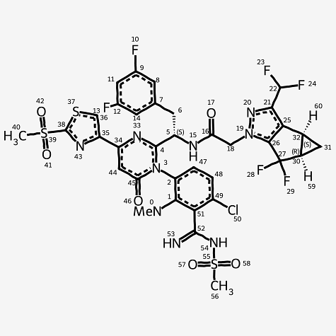 CNc1c(-n2c([C@H](Cc3cc(F)cc(F)c3)NC(=O)Cn3nc(C(F)F)c4c3C(F)(F)[C@@H]3C[C@H]43)nc(-c3csc(S(C)(=O)=O)n3)cc2=O)ccc(Cl)c1C(=N)NS(C)(=O)=O